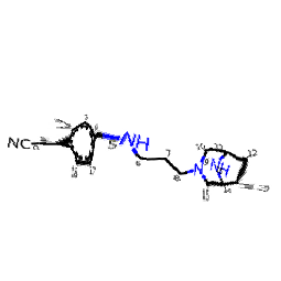 N#Cc1ccc(NCCCN2CC3CCC(C2)N3)cc1